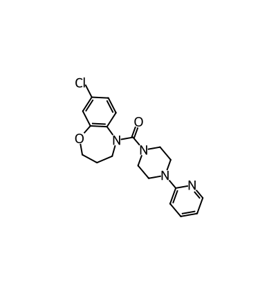 O=C(N1CCN(c2ccccn2)CC1)N1CCCOc2cc(Cl)ccc21